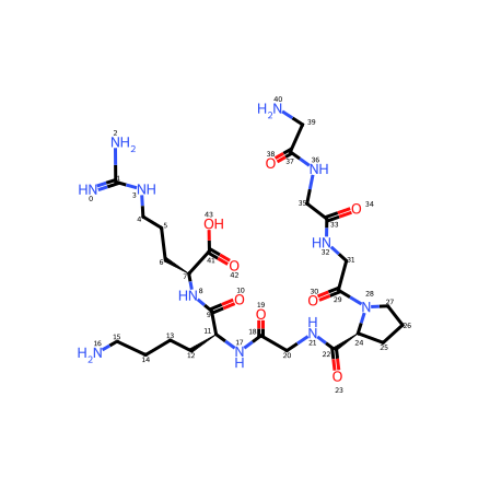 N=C(N)NCCC[C@H](NC(=O)[C@H](CCCCN)NC(=O)CNC(=O)[C@@H]1CCCN1C(=O)CNC(=O)CNC(=O)CN)C(=O)O